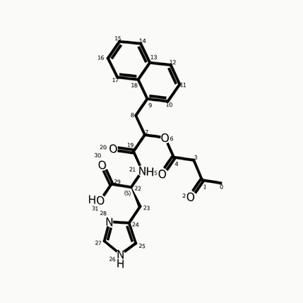 CC(=O)CC(=O)OC(Cc1cccc2ccccc12)C(=O)N[C@@H](Cc1c[nH]cn1)C(=O)O